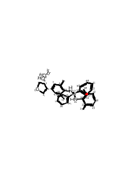 C1CCOC1.Cc1cccc(C)c1N[Si](Nc1c(C)cccc1C)(c1ccccc1)c1ccccc1.Cl.Cl.[Zr]